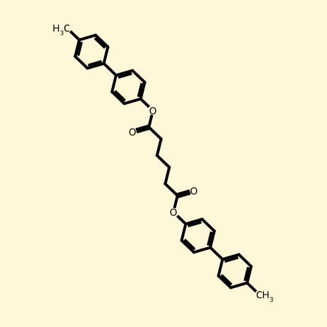 Cc1ccc(-c2ccc(OC(=O)CCCCC(=O)Oc3ccc(-c4ccc(C)cc4)cc3)cc2)cc1